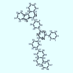 c1ccc(-c2nc(-c3ccc(-c4nc5ccccc5c5c4sc4ccccc45)cc3)nc(-c3cccc(-c4ccc5c(ccc6ccccc65)c4)c3)n2)cc1